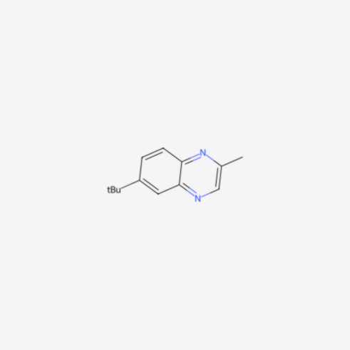 Cc1cnc2cc(C(C)(C)C)ccc2n1